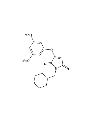 COc1cc(OC)cc(OC2=CC(=O)N(CC3CCOCC3)C2=O)c1